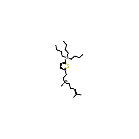 CCC[CH2][Sn]([CH2]CCC)([CH2]CCC)[c]1ccc(CC[C@H](C)CCC=C(C)C)s1